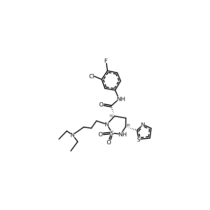 CCN(CC)CCCN1[C@H](C(=O)Nc2ccc(F)c(Cl)c2)C[C@H](c2nccs2)NS1(=O)=O